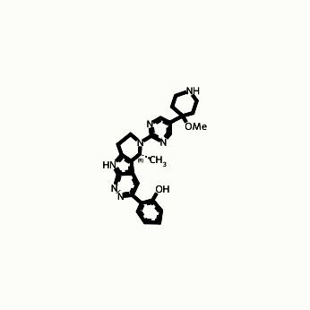 COC1(c2cnc(N3CCc4[nH]c5nnc(-c6ccccc6O)cc5c4[C@H]3C)nc2)CCNCC1